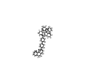 C1=CC2c3c(c4ccccc4n3-c3ccc(-c4ccc(-c5ccc6ccc7cccnc7c6n5)cc4)cc3)C(c3ccccc3)(c3ccccc3)C2C=C1